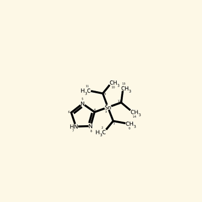 C[CH](C)[Sn]([c]1nc[nH]n1)([CH](C)C)[CH](C)C